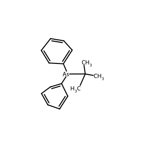 CC(C)(C)[As](c1ccccc1)c1ccccc1